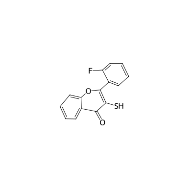 O=c1c(S)c(-c2ccccc2F)oc2ccccc12